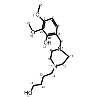 COc1ccc(CN2CCN(CCCCO)CC2)c(O)c1OC